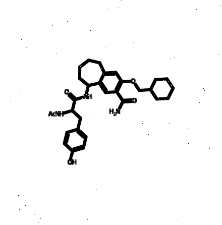 CC(=O)NC(Cc1ccc(O)cc1)C(=O)NC1CCCCc2cc(OCC3CCCCC3)c(C(N)=O)cc21